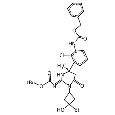 CCC1(O)CC(N2C(=O)C[C@@](C)(c3cccc(NC(=O)OCc4ccccc4)c3Cl)N/C2=N\C(=O)OC(C)(C)C)C1